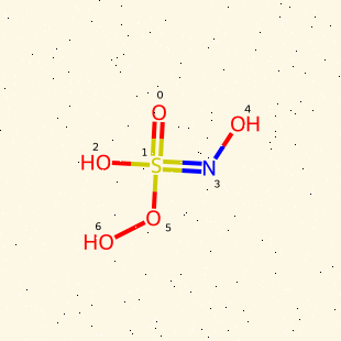 O=S(O)(=NO)OO